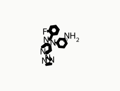 N[C@H]1CCC[C@@H](n2c(-c3ccccc3F)nc3cnc(-n4nccn4)cc32)C1